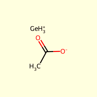 CC(=O)[O-].[GeH3+]